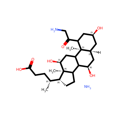 C[C@H](CCC(=O)O)[C@H]1CCC2C3C(C[C@H](O)[C@@]21C)[C@@]1(C)C(C(=O)CN)C[C@@H](O)C[C@H]1C[C@H]3O.N